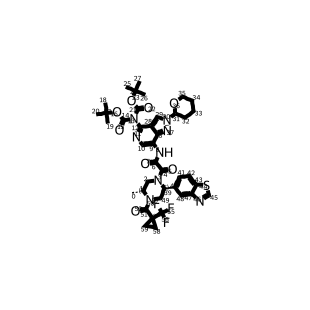 C[C@@H]1CN(C(=O)C(=O)Nc2cnc(N(C(=O)OC(C)(C)C)C(=O)OC(C)(C)C)c3cn(C4CCCCO4)nc23)[C@@H](c2ccc3scnc3c2)CN1C(=O)C1(C(F)(F)F)CC1